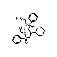 CCOP(=O)(CN(CP(=O)(OCC)c1ccccc1)C1CCCCC1)c1ccccc1